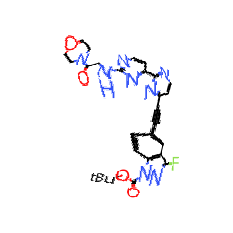 CC(C)(C)OC(=O)n1nc(F)c2cc(C#Cc3ccnc(-c4ccnc(NCC(=O)N5CCOCC5)n4)n3)ccc21